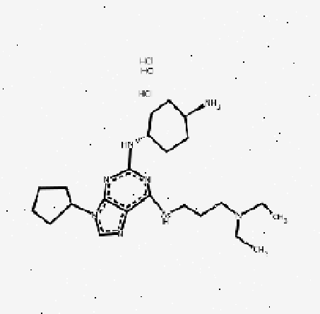 CCN(CC)CCC[AsH]c1nc(N[C@H]2CC[C@H](N)CC2)nc2c1ncn2C1CCCC1.Cl.Cl.Cl